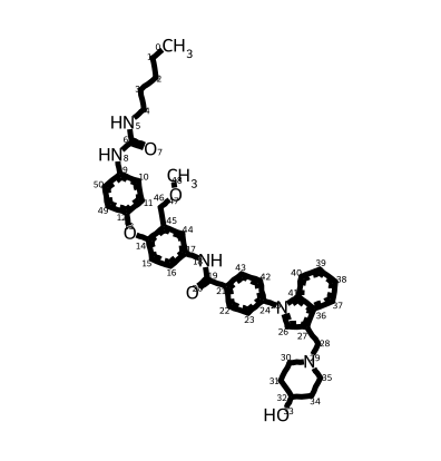 CCCCCNC(=O)Nc1ccc(Oc2ccc(NC(=O)c3ccc(-n4cc(CN5CCC(O)CC5)c5ccccc54)cc3)cc2COC)cc1